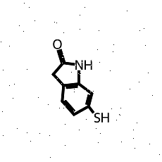 O=C1Cc2ccc(S)cc2N1